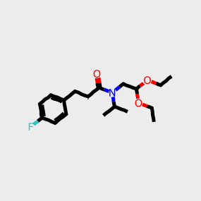 CCOC(CN(C(=O)[CH]Cc1ccc(F)cc1)C(C)C)OCC